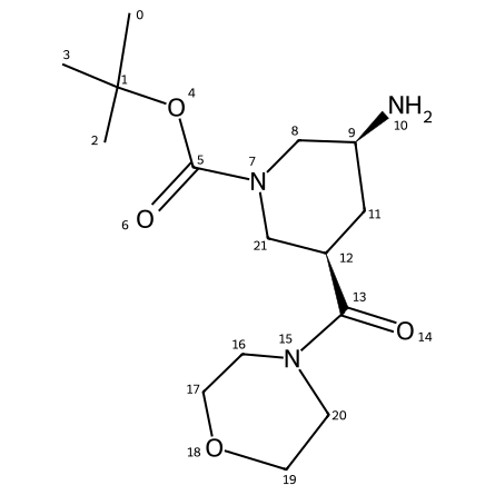 CC(C)(C)OC(=O)N1C[C@@H](N)C[C@@H](C(=O)N2CCOCC2)C1